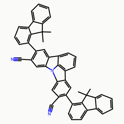 CC1(C)c2ccccc2-c2cccc(-c3cc4c5cccc6c7cc(-c8cccc9c8C(C)(C)c8ccccc8-9)c(C#N)cc7n(c4cc3C#N)c56)c21